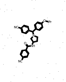 CC(C)Oc1ccc(C(c2ccc(C#N)cc2)N2CCC(NC(=O)c3ccc(C#N)cc3)C2)cc1